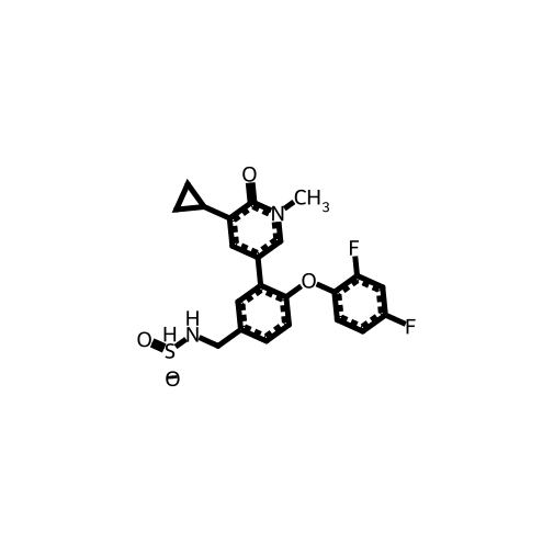 Cn1cc(-c2cc(CN[SH](=O)=O)ccc2Oc2ccc(F)cc2F)cc(C2CC2)c1=O